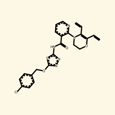 C=CC1=C(C=C)N(c2ncccc2C(=O)Nc2nnc(OCc3ccc(Cl)cc3)s2)CCO1